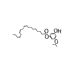 CC/C=C\C/C=C\C/C=C\CCCCCCCC(=O)Oc1cc(O)cc(OC(C)C)c1